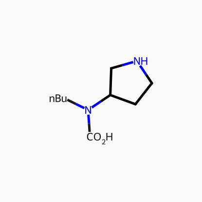 CCCCN(C(=O)O)C1CCNC1